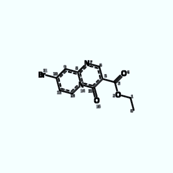 CCOC(=O)c1cnc2cc(Br)ccn2c1=O